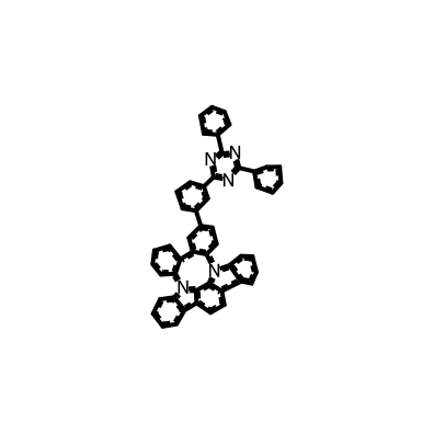 c1ccc(-c2nc(-c3ccccc3)nc(-c3cccc(-c4ccc5c(c4)c4ccccc4n4c6ccccc6c6ccc7c8ccccc8n5c7c64)c3)n2)cc1